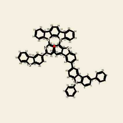 c1ccc(-c2ccc3c(c2)c2cc(-c4ccc5sc6c(-n7c8ccccc8c8ccc9c%10ccccc%10n(-c%10cccc(-c%11ccc%12sc%13ccccc%13c%12c%11)n%10)c9c87)cccc6c5c4)ccc2n3-c2ccccc2)cc1